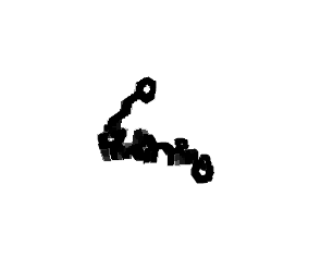 O=C(/C=C/c1cnc(N[C@@H]2CCN(CCCC3CCCCC3)C2)cn1)NOC1CCCCO1